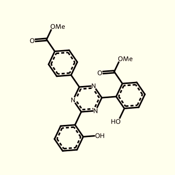 COC(=O)c1ccc(-c2nc(-c3ccccc3O)nc(-c3c(O)cccc3C(=O)OC)n2)cc1